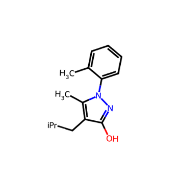 Cc1ccccc1-n1nc(O)c(CC(C)C)c1C